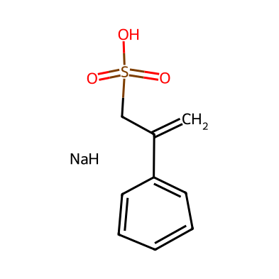 C=C(CS(=O)(=O)O)c1ccccc1.[NaH]